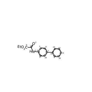 CCOC(=O)C(=O)Nc1ccc(-c2ccccc2)cc1